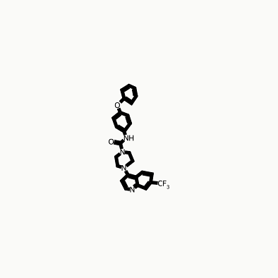 O=C(Nc1ccc(Oc2ccccc2)cc1)N1CCN(c2ccnc3cc(C(F)(F)F)ccc23)CC1